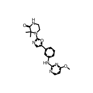 COc1ccnc(Nc2cccc(-c3cnc(N4CCNC(=O)C4(C)C)o3)c2)n1